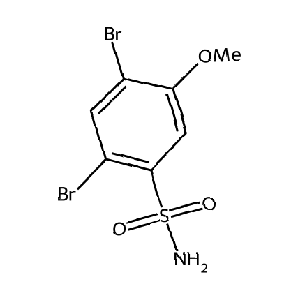 COc1cc(S(N)(=O)=O)c(Br)cc1Br